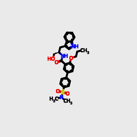 CCCOc1ccc(-c2ccc(S(=O)(=O)N(C)C)cc2)cc1C(=O)N[C@H](CO)Cc1c[nH]c2ccccc12